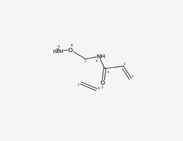 C=C.C=CC(=O)NCOCCCC